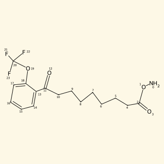 NOC(=O)CCCCCCCC(=O)c1ccccc1OC(F)(F)F